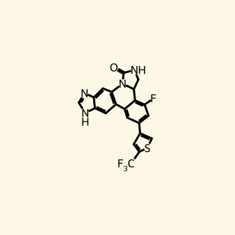 O=C1NCC2c3c(F)cc(-c4csc(C(F)(F)F)c4)cc3-c3cc4[nH]cnc4cc3N12